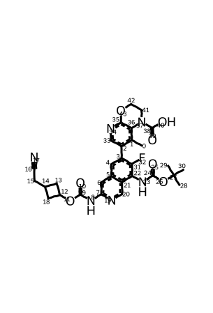 Cc1c(-c2cc3cc(NC(=O)OC4CC(CC#N)C4)ncc3c(NC(=O)OC(C)(C)C)c2F)cnc2c1N(C(=O)O)CCO2